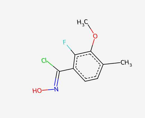 COc1c(C)ccc(/C(Cl)=N/O)c1F